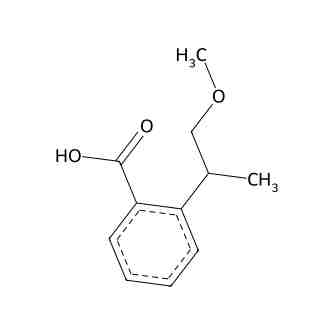 COCC(C)c1ccccc1C(=O)O